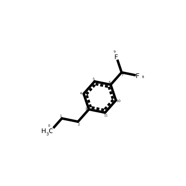 CCCc1ccc(C(F)F)cc1